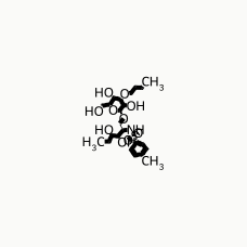 CCCCOC1C(O)[C@@H](OC[C@H](NS(=O)(=O)c2ccc(C)cc2)[C@H](O)[C@H](O)CC)OC(CO)[C@@H]1O